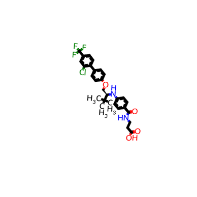 CC(C)(C)[C@@H](COc1ccc(-c2ccc(C(F)(F)F)cc2Cl)cc1)Nc1ccc(C(=O)NCCC(=O)O)cc1